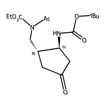 CCOC(=O)N(C[C@H]1CC(=O)C[C@@H]1NC(=O)OC(C)(C)C)C(C)=O